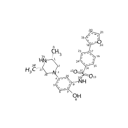 C[C@@H]1CN(c2ccc(O)c(NS(=O)(=O)c3ccc(-c4ccco4)cc3)c2)C[C@H](C)N1